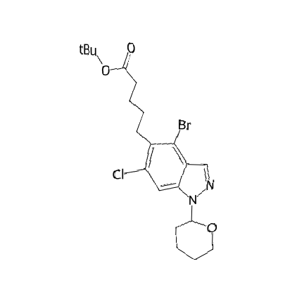 CC(C)(C)OC(=O)CCCCc1c(Cl)cc2c(cnn2C2CCCCO2)c1Br